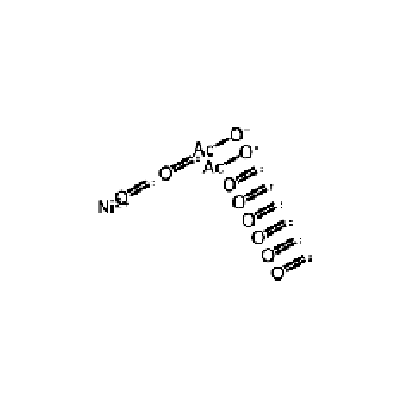 CC(=O)[O-].CC(=O)[O-].[C]=O.[C]=O.[C]=O.[C]=O.[C]=O.[C]=O.[C]=O.[C]=O.[Ni+2]